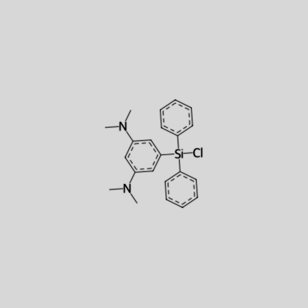 CN(C)c1cc(N(C)C)cc([Si](Cl)(c2ccccc2)c2ccccc2)c1